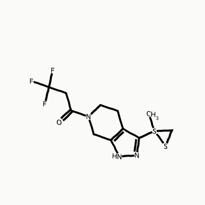 CS1(c2n[nH]c3c2CCN(C(=O)CC(F)(F)F)C3)CS1